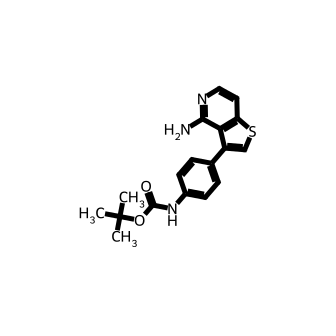 CC(C)(C)OC(=O)Nc1ccc(-c2csc3ccnc(N)c23)cc1